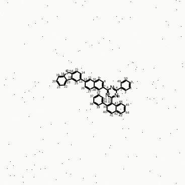 c1ccc(-c2nc(-c3ccc4cc(-c5ccc6sc7ccccc7c6c5)ccc4c3)nc(-c3c(-c4ccccc4)ccc4ccccc34)n2)cc1